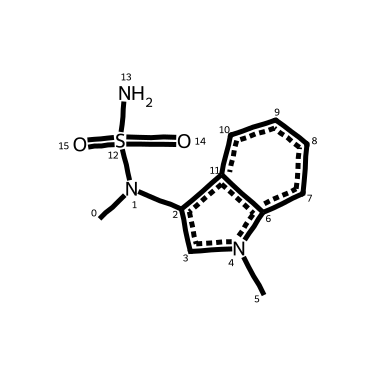 CN(c1cn(C)c2ccccc12)S(N)(=O)=O